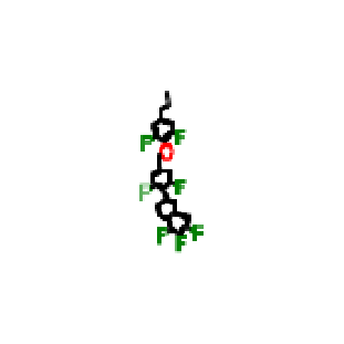 CCCc1cc(F)c(OCc2cc(F)c(-c3ccc4c(F)c(F)c(F)cc4c3)c(F)c2)c(F)c1